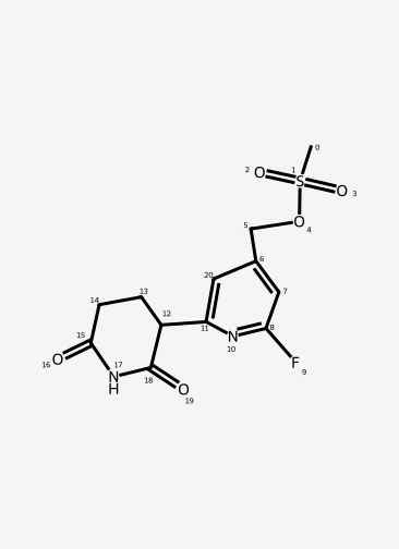 CS(=O)(=O)OCc1cc(F)nc(C2CCC(=O)NC2=O)c1